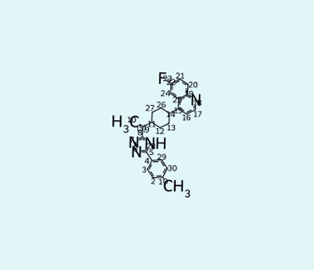 Cc1ccc(-c2nnc([C@@H](C)C3CCC(c4ccnc5ccc(F)cc45)CC3)[nH]2)cc1